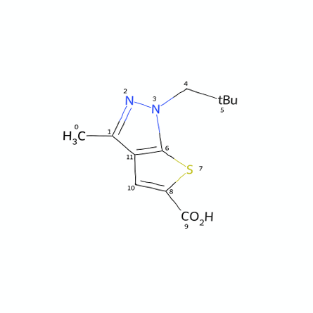 Cc1nn(CC(C)(C)C)c2sc(C(=O)O)cc12